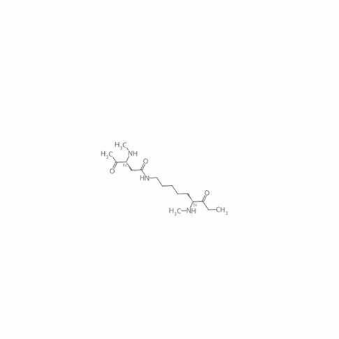 CCC(=O)[C@H](CCCCCNC(=O)C[C@H](NC)C(C)=O)NC